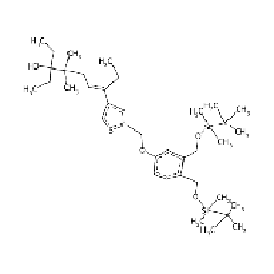 CCC(=CCC(C)(C)C(O)(CC)CC)c1csc(COc2ccc(CO[Si](C)(C)C(C)(C)C)c(CO[Si](C)(C)C(C)(C)C)c2)c1